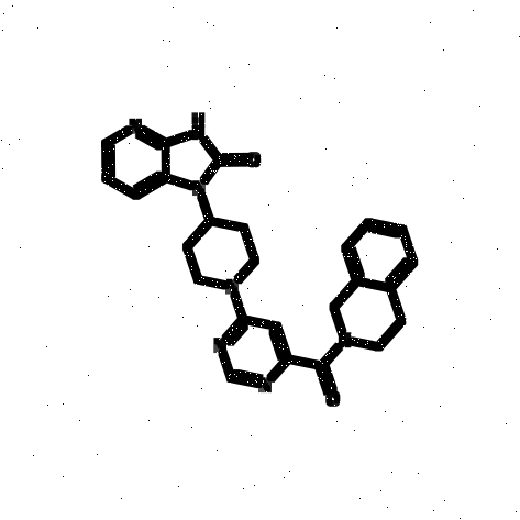 O=C(c1cc(N2CCC(n3c(=O)[nH]c4ncccc43)CC2)ncn1)N1CCc2ccccc2C1